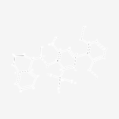 CCc1cccc(CC)c1-c1cc(OC)c(CN(C)C2CCCc3ccccc32)c(C(F)(F)F)n1